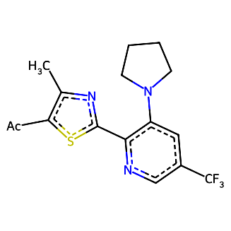 CC(=O)c1sc(-c2ncc(C(F)(F)F)cc2N2CCCC2)nc1C